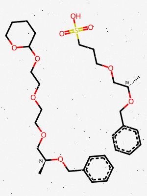 C[C@@H](COCCCS(=O)(=O)O)OCc1ccccc1.C[C@@H](COCCOCCOC1CCCCO1)OCc1ccccc1